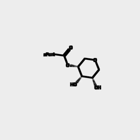 CCCCCC(=O)O[C@@H]1COC[C@H](O)[C@@H]1O